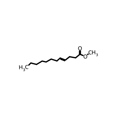 CCCCCCCC=CCCC(=O)OC